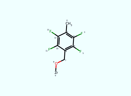 Cc1c(F)c(F)c(C[O][Zr])c(F)c1F